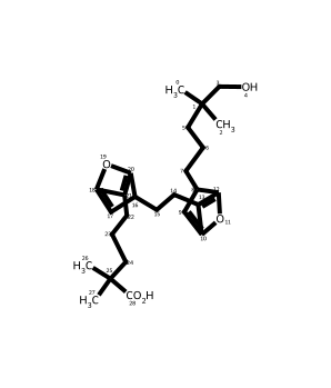 CC(C)(CO)CCCC1C=C2OC1=C2CCC1C=C2OC1=C2CCCC(C)(C)C(=O)O